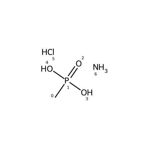 CP(=O)(O)O.Cl.N